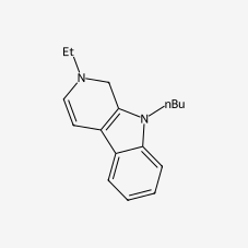 CCCCn1c2c(c3ccccc31)C=CN(CC)C2